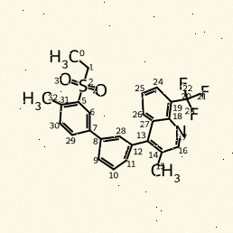 CCS(=O)(=O)c1cc(-c2cccc(-c3c(C)cnc4c(C(F)(F)F)cccc34)c2)ccc1C